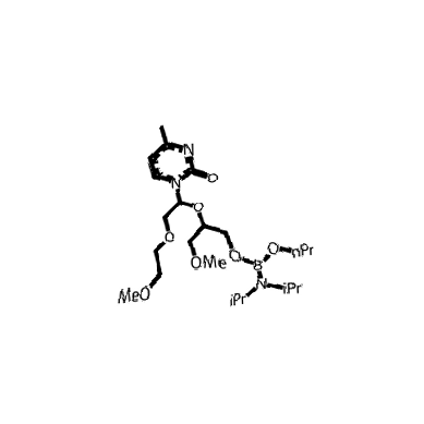 CCCOB(OCC(COC)OC(COCCOC)n1ccc(C)nc1=O)N(C(C)C)C(C)C